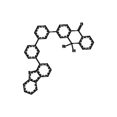 CCC1(CC)c2ccccc2C(=O)c2ccc(-c3cccc(-c4cccc(-c5cccc6c5sc5ccccc56)c4)c3)cc21